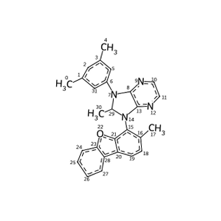 Cc1cc(C)cc(N2c3nccnc3N(c3c(C)ccc4c3oc3ccccc34)C2C)c1